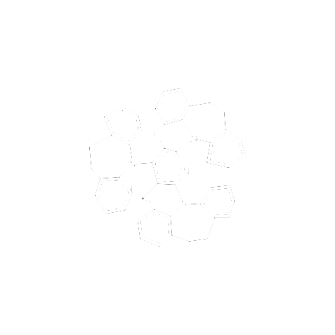 Fc1c(N2c3ccccc3CCc3ccccc32)nc(N2c3ccccc3CCc3ccccc32)c(C(F)(F)F)c1N1c2ccccc2CCc2ccccc21